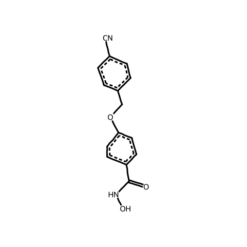 N#Cc1ccc(COc2ccc(C(=O)NO)cc2)cc1